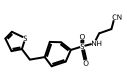 N#CCCNS(=O)(=O)c1ccc(Cc2cccs2)cc1